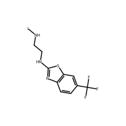 FC(F)(F)c1ccc2nc(NCCNI)sc2c1